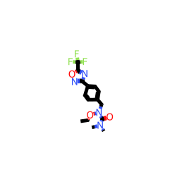 CCON(Cc1ccc(-c2noc(C(F)(F)F)n2)cc1)C(=O)N(C)C